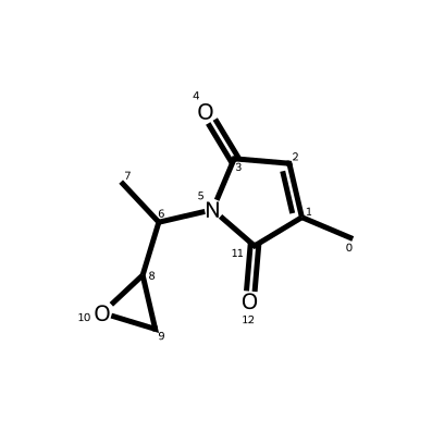 CC1=CC(=O)N(C(C)C2CO2)C1=O